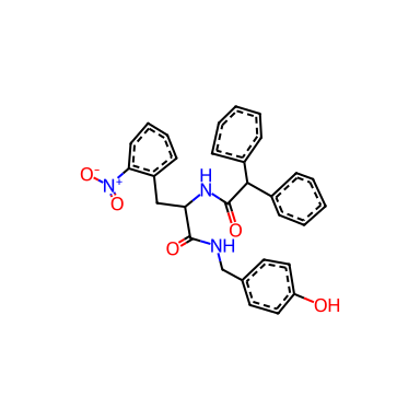 O=C(NCc1ccc(O)cc1)C(Cc1ccccc1[N+](=O)[O-])NC(=O)C(c1ccccc1)c1ccccc1